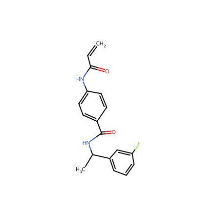 C=CC(=O)Nc1ccc(C(=O)NC(C)c2cccc(F)c2)cc1